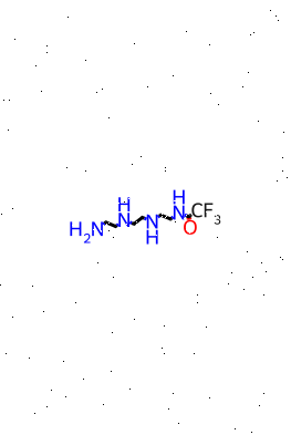 NCCNCCNCCNC(=O)C(F)(F)F